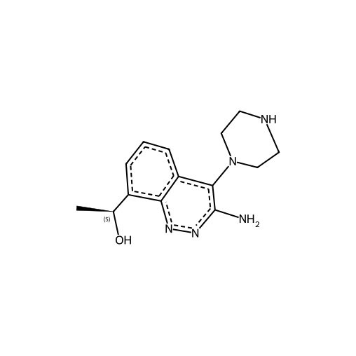 C[C@H](O)c1cccc2c(N3CCNCC3)c(N)nnc12